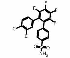 NS(=O)(=O)c1ccc(-c2c(F)c(F)c(F)c(F)c2-c2ccc(Cl)c(Cl)c2)cc1